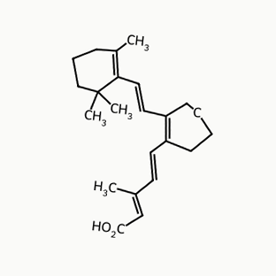 CC1=C(C=CC2=C(/C=C/C(C)=C/C(=O)O)CCCC2)C(C)(C)CCC1